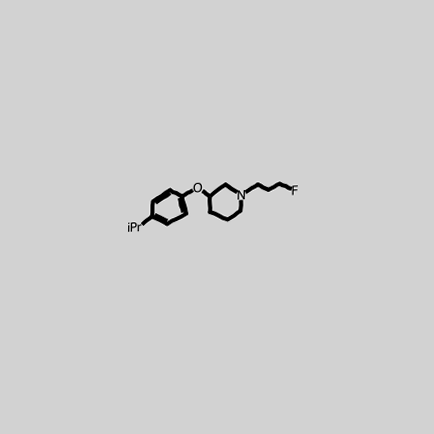 CC(C)c1ccc(OC2CCCN(CCCF)C2)cc1